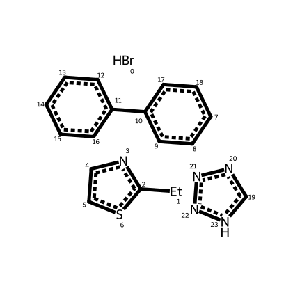 Br.CCc1nccs1.c1ccc(-c2ccccc2)cc1.c1nnn[nH]1